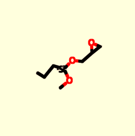 CCC[Si](OC)OCC1CO1